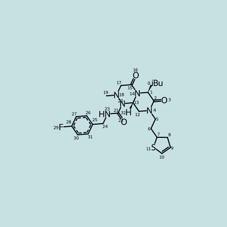 CCC(C)[C@H]1C(=O)N(CCC2CC=CS2)C[C@H]2N1C(=O)CN(C)N2C(=O)NCc1ccc(F)cc1